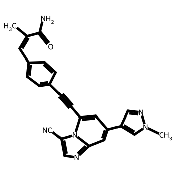 CC(=Cc1ccc(C#Cc2cc(-c3cnn(C)c3)cc3ncc(C#N)n23)cc1)C(N)=O